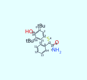 CC(C)(C)c1cc(SC(C(N)=O)c2ccccc2)cc(C(C)(C)C)c1O